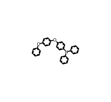 c1ccc(Oc2ccc(Oc3ccc(N(c4ccccc4)c4ccccc4)cc3)cc2)cc1